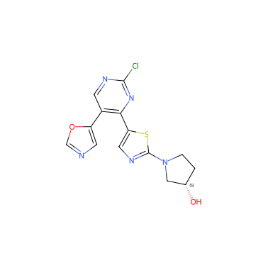 O[C@H]1CCN(c2ncc(-c3nc(Cl)ncc3-c3cnco3)s2)C1